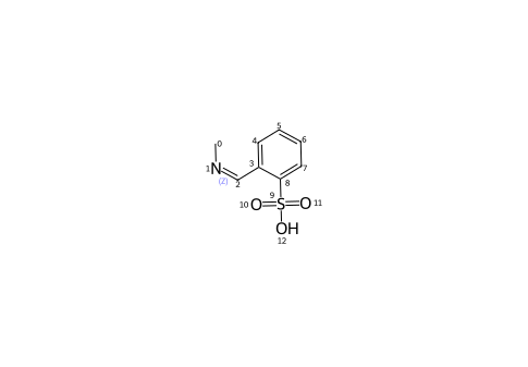 C/N=C\c1ccccc1S(=O)(=O)O